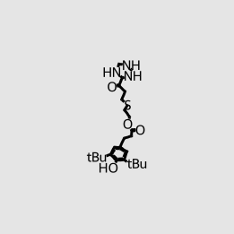 CC(C)(C)c1cc(CCC(=O)OCCSCCC(=O)C2NCNCN2)cc(C(C)(C)C)c1O